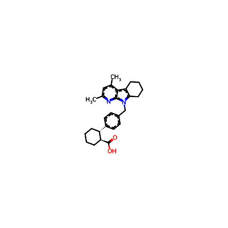 Cc1cc(C)c2c3c(n(Cc4ccc([C@H]5CCCC[C@@H]5C(=O)O)cc4)c2n1)CCCC3